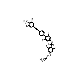 C=CCOc1cc(F)c(C(F)(F)Oc2cc(F)c(-c3ccc(C#Cc4cc(F)c(C(F)(F)F)c(F)c4)cc3)c(F)c2)c(F)c1